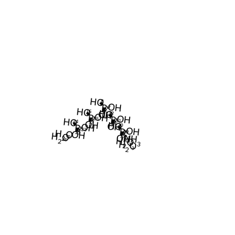 N.O.O.O.O.OB(O)O.OB(O)O.OB(O)O.OB(O)O.OB(O)O